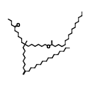 C=C(CCCCCCCCCCCCCCC)CCCCCCCC(C)(CCCCCCOC(=C)CCCCCCCCCCCCCCC)CCCCCC(=O)CCC